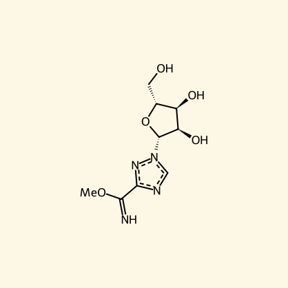 COC(=N)c1ncn([C@@H]2O[C@H](CO)[C@@H](O)[C@H]2O)n1